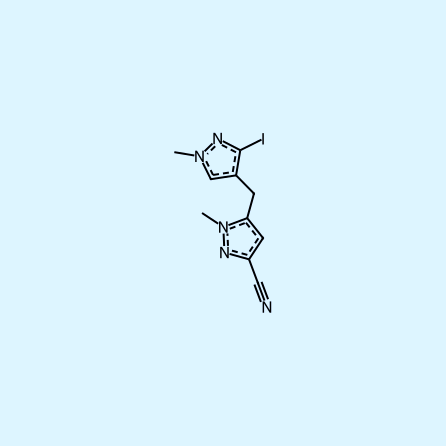 Cn1cc(Cc2cc(C#N)nn2C)c(I)n1